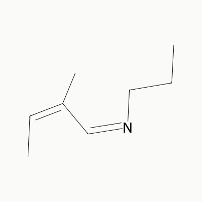 C/C=C(C)\C=N/CCC